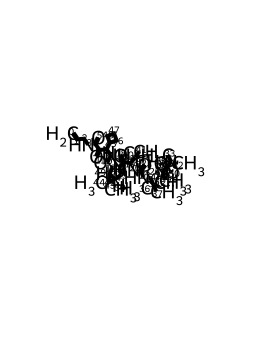 C=CCNC(=O)C(=O)C(NC(=O)[C@@H]1[C@@H]2[C@H](CN1C(=O)[C@@H](NC(=O)N[C@H](CN(C)S(=O)(=O)N(C)C)C(C)(C)C)C(C)(C)C)C2(C)C)C1CCC1